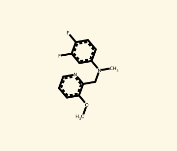 COc1cccnc1CN(C)c1ccc(F)c(F)c1